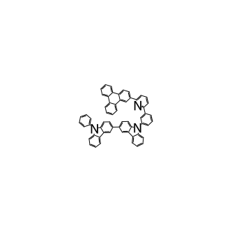 c1ccc(-n2c3ccccc3c3cc(-c4ccc5c(c4)c4ccccc4n5-c4cccc(-c5cccc(-c6ccc7c8ccccc8c8ccccc8c7c6)n5)c4)ccc32)cc1